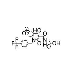 O=C(O)CNC(=O)c1c(O)c2c(n(Cc3ccc(C(F)(F)F)cc3)c1=O)CS(=O)(=O)C2